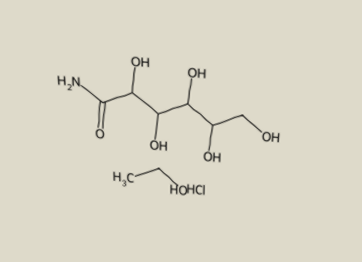 CCO.Cl.NC(=O)C(O)C(O)C(O)C(O)CO